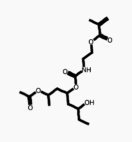 C=C(C)C(=O)OCCNC(=O)OC(CC(O)CC)CC(C)OC(C)=O